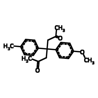 COc1ccc(C(CC(C)=O)(CC(C)=O)c2ccc(C)cc2)cc1